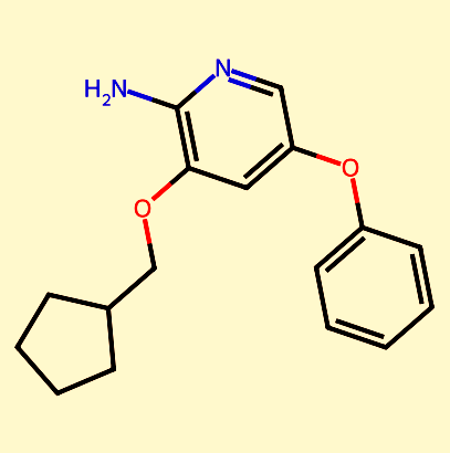 Nc1ncc(Oc2ccccc2)cc1OCC1CCCC1